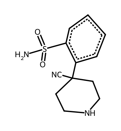 N#CC1(c2ccccc2S(N)(=O)=O)CCNCC1